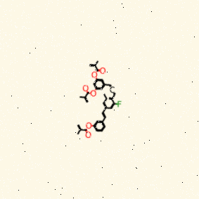 C=C(C)C(=O)Oc1cccc(/C=C/C(=C/CC)/C=C(/F)C(=C)C=C=Cc2cc(OC(=O)C(=C)C)cc(OC(=O)C(=C)C)c2)c1